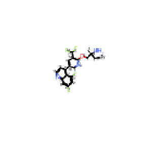 CC(C)C[C@@](C)(N)COc1ncc(-c2ccnc3cc(F)cc(F)c23)cc1C(F)F